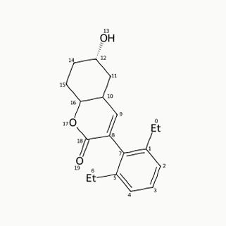 CCc1cccc(CC)c1C1=CC2C[C@@H](O)CCC2OC1=O